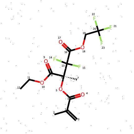 C=C(C)C(=O)O[C@@](C)(C(=O)OCC)C(F)(F)C(=O)OCC(F)(F)F